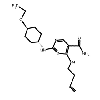 C=CCCNc1nc(N[C@H]2CC[C@H](OCC(F)(F)F)CC2)ncc1C(N)=O